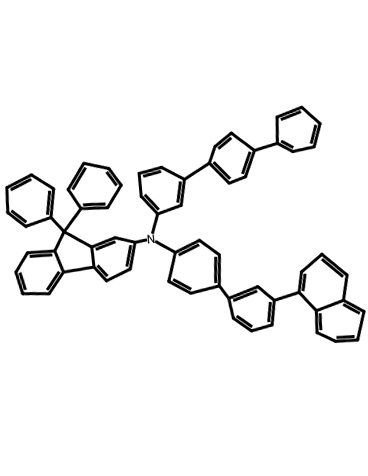 c1ccc(-c2ccc(-c3cccc(N(c4ccc(-c5cccc(-c6cccc7ccccc67)c5)cc4)c4ccc5c(c4)C(c4ccccc4)(c4ccccc4)c4ccccc4-5)c3)cc2)cc1